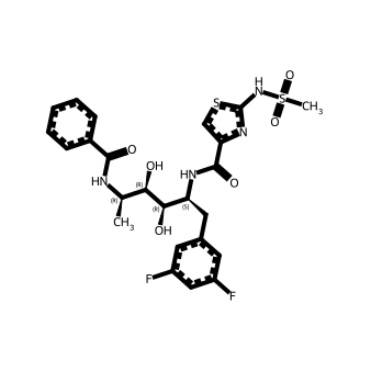 C[C@@H](NC(=O)c1ccccc1)[C@@H](O)[C@H](O)[C@H](Cc1cc(F)cc(F)c1)NC(=O)c1csc(NS(C)(=O)=O)n1